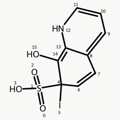 O=S(=O)(O)C1(I)C=CC2=CC=CNC2=C1O